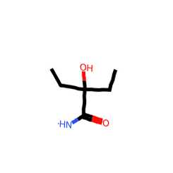 CCC(O)(CC)C([NH])=O